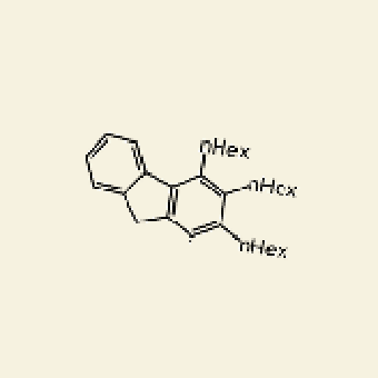 CCCCCCc1[c]c2c(c(CCCCCC)c1CCCCCC)-c1ccccc1C2